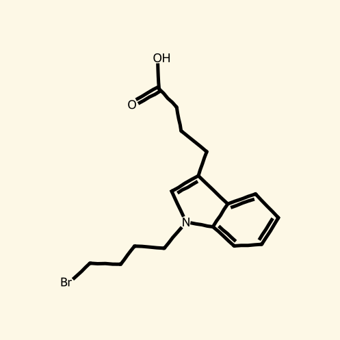 O=C(O)CCCc1cn(CCCCBr)c2ccccc12